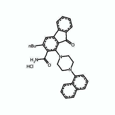 CCCCc1cc2c(c(N3CCN(c4cccc5ccccc45)CC3)c1C(N)=O)C(=O)c1ccccc1-2.Cl